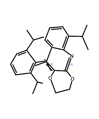 CC(C)c1cccc(C(C)C)c1/N=C1\OCCO\C1=N\c1c(C(C)C)cccc1C(C)C